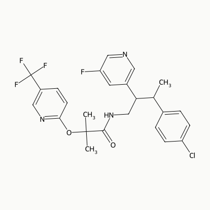 CC(c1ccc(Cl)cc1)C(CNC(=O)C(C)(C)Oc1ccc(C(F)(F)F)cn1)c1cncc(F)c1